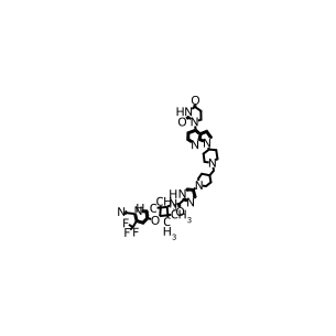 CC1(C)C(NC(=O)c2ncc(N3CCC(CN4CCC(n5ccc6c(N7CCC(=O)NC7=O)ccnc65)CC4)CC3)cn2)C(C)(C)C1Oc1cnc(C#N)c(C(F)(F)F)c1